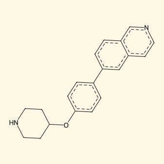 c1cc2cc(-c3ccc(OC4CCNCC4)cc3)ccc2cn1